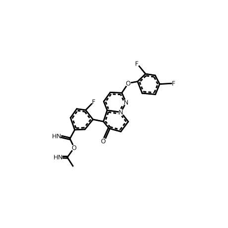 CC(=N)OC(=N)c1ccc(F)c(-c2c(=O)ccn3nc(Oc4ccc(F)cc4F)ccc23)c1